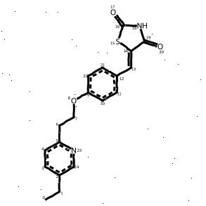 CCc1ccc(CCOc2ccc(/C=C3\SC(=O)NC3=O)cc2)nc1